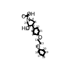 O=C(O)N1CCC(c2ccc(OCCOc3ccccc3)cc2)C(O)C1